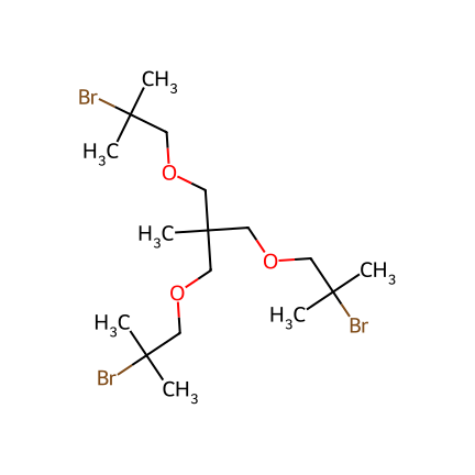 CC(C)(Br)COCC(C)(COCC(C)(C)Br)COCC(C)(C)Br